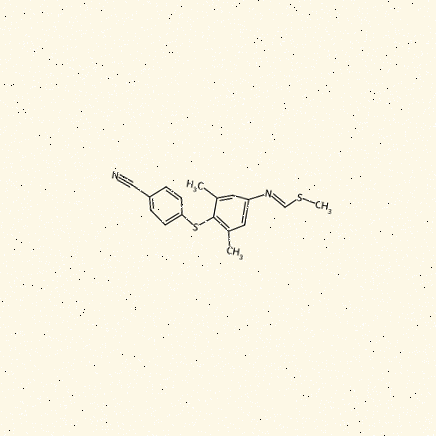 CS/C=N/c1cc(C)c(Sc2ccc(C#N)cc2)c(C)c1